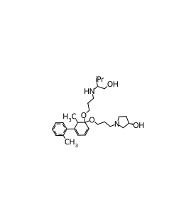 Cc1ccccc1C1=CC=CC(OCCCNC(CO)C(C)C)(OCCCN2CC[C@@H](O)C2)C1C